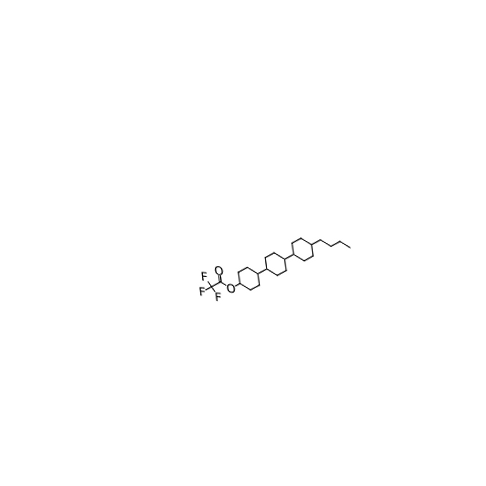 CCCCC1CCC(C2CCC(C3CCC(OC(=O)C(F)(F)F)CC3)CC2)CC1